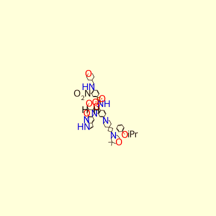 CC(C)Oc1ccccc1[C@@H]1COCC(C)(C)CN1C1CC2(CCN(c3ccc(C(=O)NS(=O)(=O)c4ccc(NCC5CCOCC5)c([N+](=O)[O-])c4)c(N4c5cc6cc[nH]c6nc5O[C@H]5COCC[C@@H]54)c3)CC2)C1